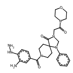 NNc1ccc(C(=O)N2CCC3(CC2)C(=O)N(CC(=O)N2CCOCC2)CN3c2ccccc2)cc1N